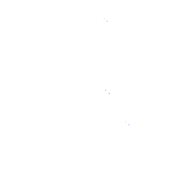 N#C/C=C1/c2ccccc2CC(N2CCN(CCO)CC2)c2ccccc21